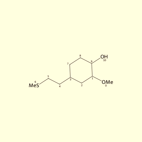 COC1CC(CCSC)CCC1O